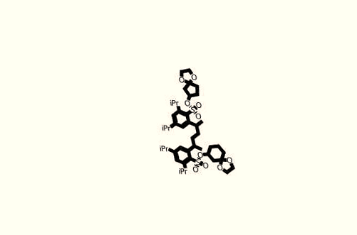 CC(C)c1cc(C(C)C)c(S(=O)(=O)OC2CCCC3(C2)OCCO3)c(C(C)CCC(C)c2cc(C(C)C)cc(C(C)C)c2S(=O)(=O)OC2CCC3(C2)OCCO3)c1